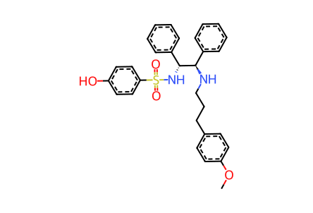 COc1ccc(CCCN[C@H](c2ccccc2)[C@H](NS(=O)(=O)c2ccc(O)cc2)c2ccccc2)cc1